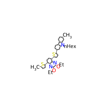 CCCCCCn1c2cc(C)ccc2c2ccc(-c3ccc(-c4ccc(-c5ccc(C)s5)c5nc(OCC)c(OCC)nc45)s3)cc21